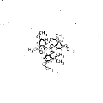 COc1ccc(OP(Oc2ccc(OC)cc2C(C)C)Oc2ccc(OC)cc2C(C)C)c(C(C)C)c1